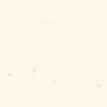 CCC(Pc1ccc(C)cc1/C=N/C)c1cc(OC)ccc1OCOC